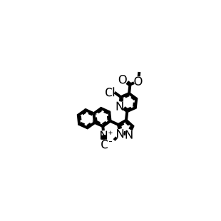 [C-]#[N+]c1c(-c2c(-c3ccc(C(=O)OC)c(Cl)n3)cnn2C)ccc2ccccc12